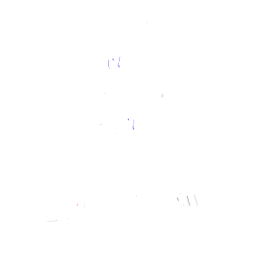 CCc1cc(COC)cc2c1CN(C1CCC(=O)NC1=O)C2=O